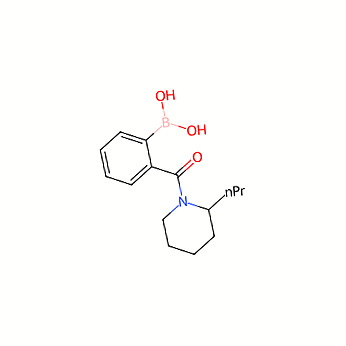 CCCC1CCCCN1C(=O)c1ccccc1B(O)O